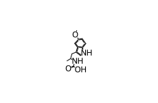 COc1ccc2[nH]cc(CC(C)NC(=O)O)c2c1